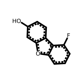 Oc1ccc2c(c1)oc1cccc(F)c12